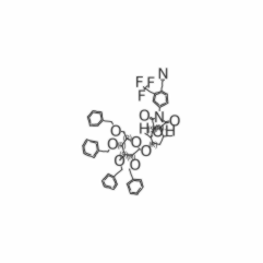 CC12C[C@@H](OC3O[C@H](COCc4ccccc4)[C@@H](OCc4ccccc4)[C@H](OCc4ccccc4)[C@H]3OCc3ccccc3)C(C)(O1)[C@H]1C(=O)N(c3ccc(C#N)c(C(F)(F)F)c3)C(=O)[C@H]12